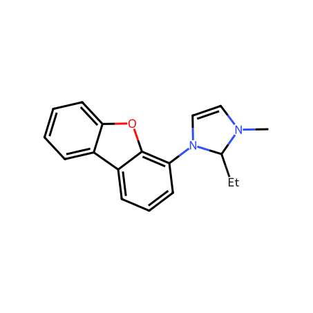 CCC1N(C)C=CN1c1cccc2c1oc1ccccc12